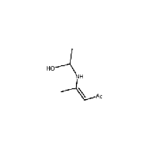 CC(=O)C=C(C)NC(C)O